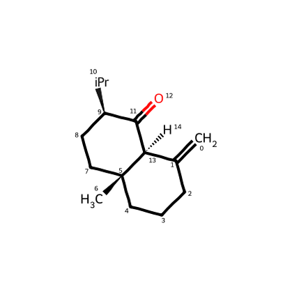 C=C1CCC[C@]2(C)CC[C@@H](C(C)C)C(=O)[C@@H]12